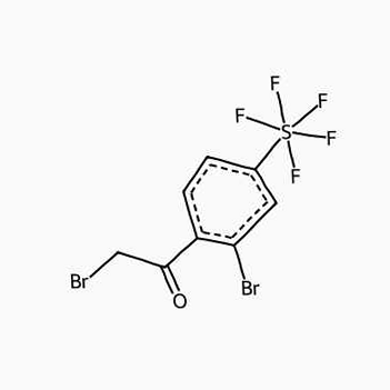 O=C(CBr)c1ccc(S(F)(F)(F)(F)F)cc1Br